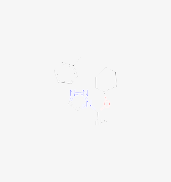 CCCC(OC1CCCCC1)n1ccnn1.Cc1ccccc1